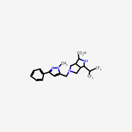 Cn1nc(-c2ccccc2)cc1CN1CC2C(C(=O)O)NC(C(C(F)(F)F)C(F)(F)F)C2C1